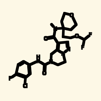 CN(C(=O)c1cnn2c1CN(C(=O)Nc1ccc(F)c(Cl)c1)CC2)C1(CCOC(F)F)CCOCC1